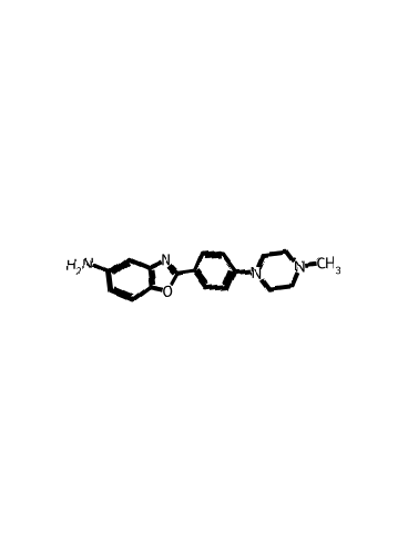 CN1CCN(c2ccc(-c3nc4cc(N)ccc4o3)cc2)CC1